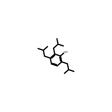 CC(C)Cc1ccc(CC(C)C)c(CC(C)C)c1O